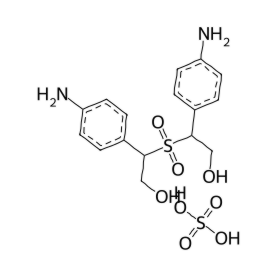 Nc1ccc(C(CO)S(=O)(=O)C(CO)c2ccc(N)cc2)cc1.O=S(=O)(O)O